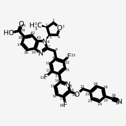 C[C@H]1COC[C@H]1n1c(Cc2cc(F)c(-c3ccc(F)c(OCc4ccc(C#N)cc4)n3)cc2F)nc2ccc(C(=O)O)cc21